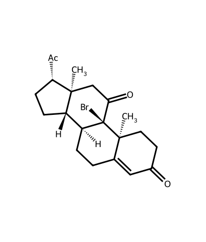 CC(=O)[C@H]1CC[C@H]2[C@@H]3CCC4=CC(=O)CC[C@]4(C)[C@@]3(Br)C(=O)C[C@]12C